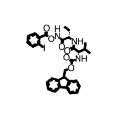 CC[C@H](NC(=O)[C@@H](NC(=O)OCC1c2ccccc2-c2ccccc21)C(C)C)C(=O)NOC(=O)c1ccccc1I